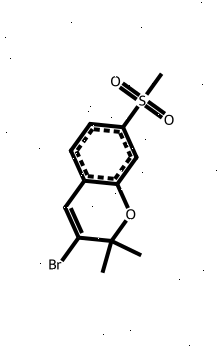 CC1(C)Oc2cc(S(C)(=O)=O)ccc2C=C1Br